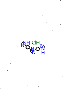 Cl.c1cc(-c2ccc(C3=NCCN3)cc2)nc(-c2ccc(C3=NCCN3)cc2)n1